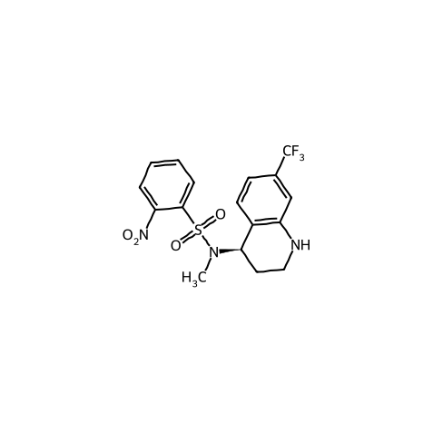 CN([C@@H]1CCNc2cc(C(F)(F)F)ccc21)S(=O)(=O)c1ccccc1[N+](=O)[O-]